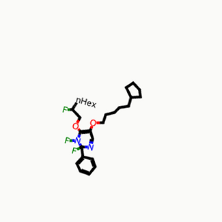 CCCCCCC(F)COC1=C(OCCCCCC2CCCC2)C=NC(F)(c2ccccc2)N1F